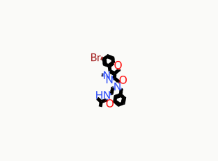 CC(C)C(=O)NCCN(Cc1ccccc1)C(=O)c1nn(C)c2c1COc1ccc(Br)cc1-2